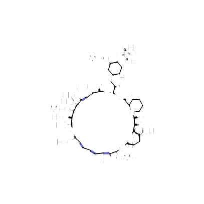 C=C1[C@H](C)C[C@H](C)/C=C/C=C/C=C(\C)[C@@H](OC)C[C@@H]2CC[C@@H](C)[C@@](O)(O2)C(=O)C(=O)N2CCCCC2C(=O)O[C@H]([C@H](C)C[C@@H]2CC[C@@H](OP(C)(C)=O)[C@H](OC)C2)CC(=O)[C@H](C)/C=C(\C)[C@@H](O)[C@H]1OC